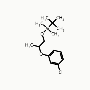 CC(CO[Si](C)(C)C(C)(C)C)Oc1cccc(Cl)c1